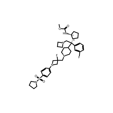 COC(=O)N[C@H]1CCC[C@@H]1C(CN1CCC1)(c1cccc(F)c1)C1CCN(CC2(F)CN(c3ccc(S(=O)(=O)N4CCCC4)cc3)C2)CC1